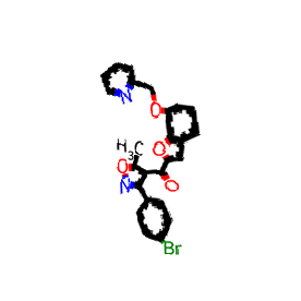 Cc1onc(-c2ccc(Br)cc2)c1C(=O)c1cc2cccc(OCc3ccccn3)c2o1